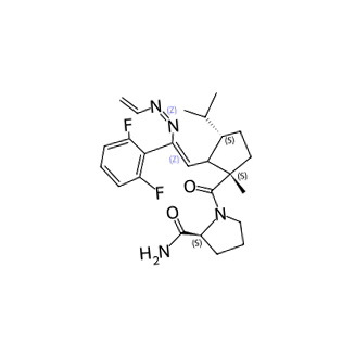 C=C/N=N\C(=C/C1[C@H](C(C)C)CC[C@]1(C)C(=O)N1CCC[C@H]1C(N)=O)c1c(F)cccc1F